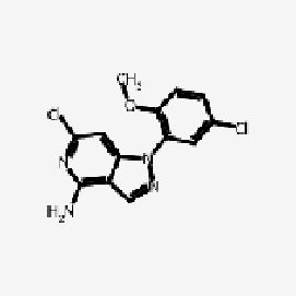 COc1ccc(Cl)cc1-n1ncc2c(N)nc(Cl)cc21